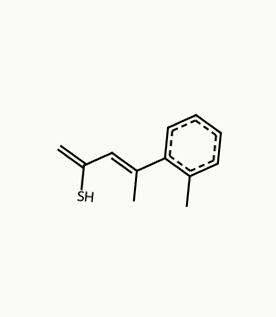 C=C(S)/C=C(\C)c1ccccc1C